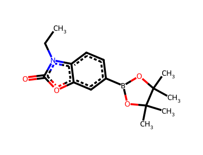 CCn1c(=O)oc2cc(B3OC(C)(C)C(C)(C)O3)ccc21